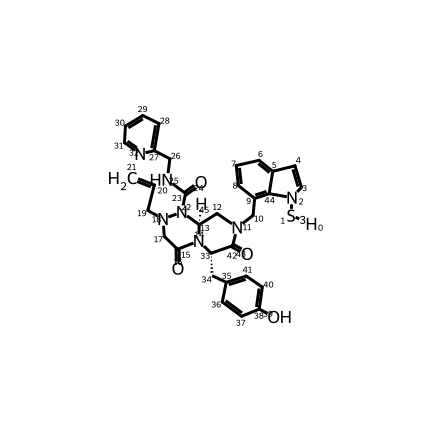 [3H]Sn1ccc2cccc(CN3C[C@H]4N(C(=O)CN(CC=C)N4C(=O)NCc4ccccn4)[C@@H](Cc4ccc(O)cc4)C3=O)c21